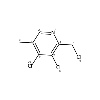 Cc1cnc(CCl)c(Cl)c1Cl